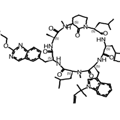 C=CC(C)(C)n1cc(C[C@@H]2NC(=O)[C@H](CC3CCC3)NC(=O)[C@H](CC(C)C)N3CCC[C@@H](C3=O)N(C)C(=O)[C@H](C)NC(=O)[C@H](Cc3ccc4nc(OCF)ncc4c3)NC(=O)[C@H](CC(C)C)N(C)C2=O)c2ccccc21